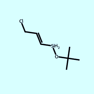 CC(C)(C)O[SiH2]C=CCCl